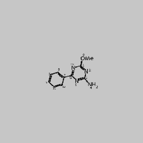 COc1nc(N)nc(-c2ccccc2)n1